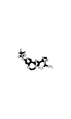 CC(C)n1ncnc1-c1cn2c(n1)-c1cnc(OS(=O)(=O)C(F)(F)F)cc1OCC2